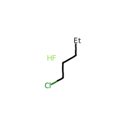 CCCCCCl.F